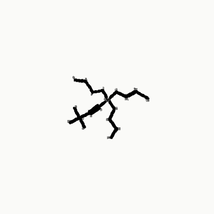 CCC[CH2][Sn]([C]#CC(C)(C)C)([CH2]CCC)[CH2]CCC